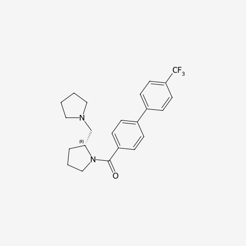 O=C(c1ccc(-c2ccc(C(F)(F)F)cc2)cc1)N1CCC[C@@H]1CN1CCCC1